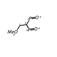 COCC(P=O)P=O